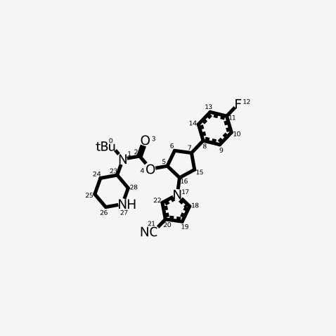 CC(C)(C)N(C(=O)OC1CC(c2ccc(F)cc2)CC1n1ccc(C#N)c1)C1CCCNC1